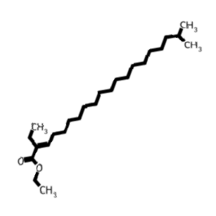 CCOC(=O)C(=CCCCCCCCCCCCCCCCC(C)C)CC